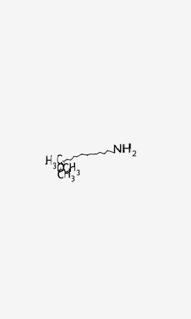 COC(C)(C)CCCCCCCCCCCCN